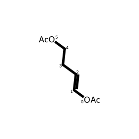 CC(=O)OC=CCCOC(C)=O